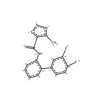 Cc1nnsc1C(=S)Nc1ccccc1-c1ccc(F)c(F)c1